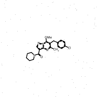 COc1c(Cc2ccc(Cl)cc2)c(C)nc2c(C(=O)N3CCCCC3)cnn12